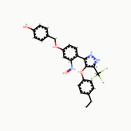 CCc1ccc(Oc2c(-c3ccc(OCc4ccc(O)cc4)cc3N=O)n[nH]c2C(F)(F)F)cc1